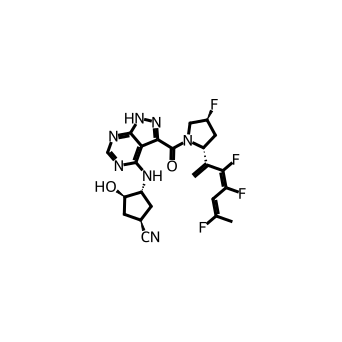 C=C(/C(F)=C(F)\C=C(/C)F)[C@H]1C[C@H](F)CN1C(=O)c1n[nH]c2ncnc(N[C@@H]3C[C@@H](C#N)C[C@H]3O)c12